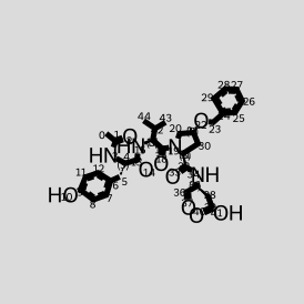 CC(=O)N[C@@H](Cc1ccc(O)cc1)C(=O)N[C@H](C(=O)N1C[C@H](OCc2ccccc2)C[C@H]1C(=O)N[C@H](C=O)CC(=O)O)C(C)C